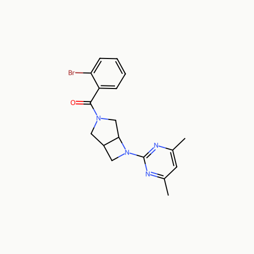 Cc1cc(C)nc(N2CC3CN(C(=O)c4ccccc4Br)CC32)n1